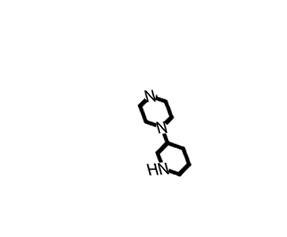 C1CNCC(N2CC[N]CC2)C1